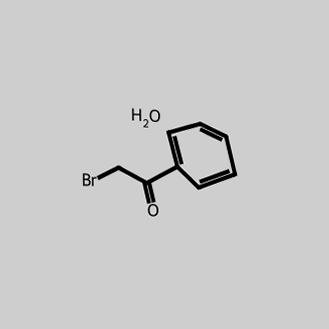 O.O=C(CBr)c1ccccc1